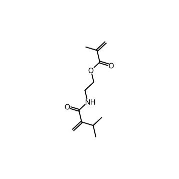 C=C(C)C(=O)OCCNC(=O)C(=C)C(C)C